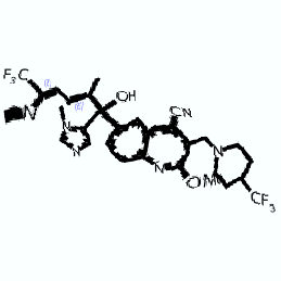 C=N/C(=C\C=C(/C)C(O)(c1ccc2nc(OC)c(CN3CCC(C(F)(F)F)CC3)c(C#N)c2c1)c1cncn1C)C(F)(F)F